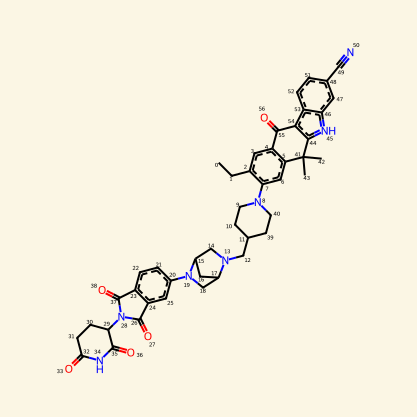 CCc1cc2c(cc1N1CCC(CN3CC4CC3CN4c3ccc4c(c3)C(=O)N(C3CCC(=O)NC3=O)C4=O)CC1)C(C)(C)c1[nH]c3cc(C#N)ccc3c1C2=O